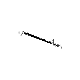 CCCCCCCCCCCCCCCCCCCCCNCCN